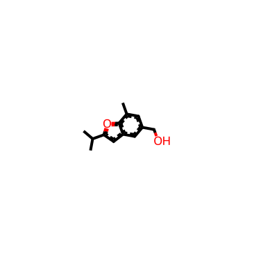 Cc1cc(CO)cc2cc(C(C)C)oc12